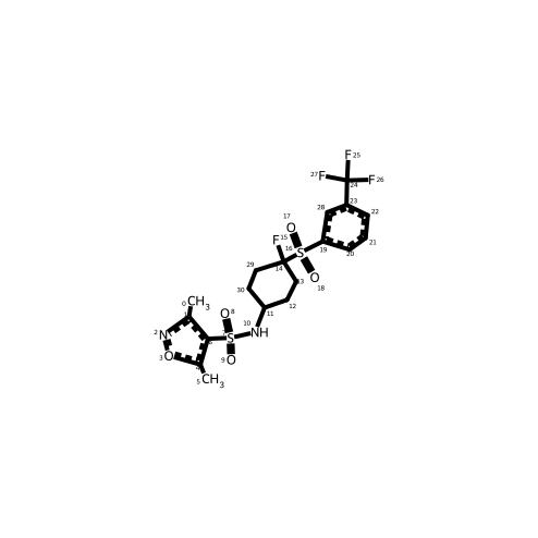 Cc1noc(C)c1S(=O)(=O)NC1CCC(F)(S(=O)(=O)c2cccc(C(F)(F)F)c2)CC1